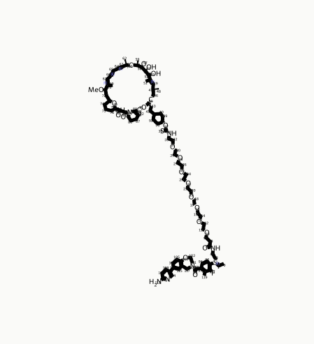 C/C=S(\CCNC(=O)CCOCCOCCOCCOCCOCCOCCOCCOCCNC(=S)OC1CCC(CC[C@@H]2CC[C@H](C)/C=C(\C)C(O)[C@@H](O)C(=O)[C@H](C)C[C@H](C)/C=C/C=C/C=C(\C)[C@@H](OC)CC3CCC[C@@](O)(O3)C(=O)C(=O)N3CCCC[C@H]3CO2)CC1)c1ccc(C(=O)N2CCOc3ccc(-c4ccc(N)nc4)cc3C2)c(C)c1F